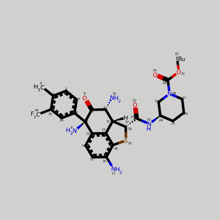 Cc1ccc([C@]2(N)C(=O)[C@H](N)[C@H]3c4c2ccc(N)c4S[C@H]3C(=O)N[C@@H]2CCCN(C(=O)OC(C)(C)C)C2)cc1C(F)(F)F